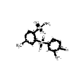 Cc1ccc(S(N)(=O)=O)c(S(=O)(=O)c2ccc(Cl)c(N)c2)c1